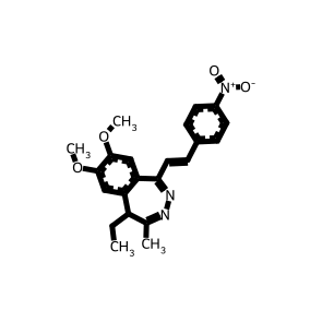 CCC1C(C)=NN=C(/C=C/c2ccc([N+](=O)[O-])cc2)c2cc(OC)c(OC)cc21